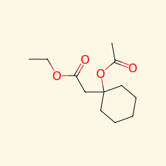 CCOC(=O)CC1(OC(C)=O)CCCCC1